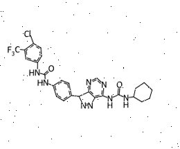 O=C(Nc1ccc(C2N=Nc3c(NC(=O)NC4CCCCC4)ncnc32)cc1)Nc1ccc(Cl)c(C(F)(F)F)c1